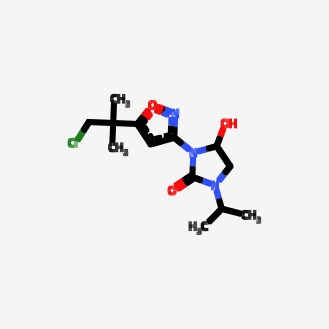 CC(C)N1CC(O)N(c2cc(C(C)(C)CCl)on2)C1=O